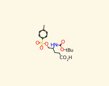 Cc1ccc(S(=O)(=O)OCC(CCC(=O)O)NC(=O)OC(C)(C)C)cc1